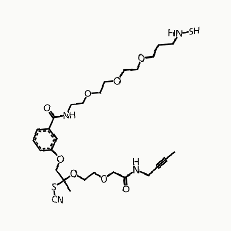 CC#CCNC(=O)COCCOC(C)(COc1cccc(C(=O)NCCOCCOCCOCCCNS)c1)SC#N